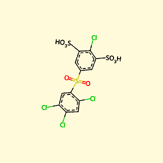 O=S(=O)(O)c1cc(S(=O)(=O)c2cc(Cl)c(Cl)cc2Cl)cc(S(=O)(=O)O)c1Cl